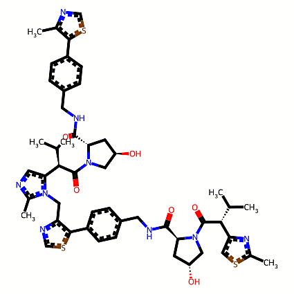 Cc1nc([C@H](C(=O)N2C[C@H](O)C[C@H]2C(=O)NCc2ccc(-c3scnc3Cn3c([C@H](C(=O)N4C[C@H](O)C[C@H]4C(=O)NCc4ccc(-c5scnc5C)cc4)C(C)C)cnc3C)cc2)C(C)C)cs1